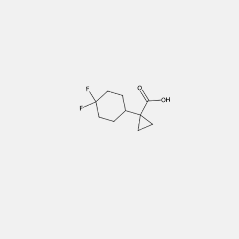 O=C(O)C1(C2CCC(F)(F)CC2)CC1